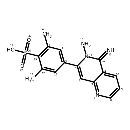 Cc1cc(-c2cc3ncccc3c(=N)n2N)cc(C)c1S(=O)(=O)O